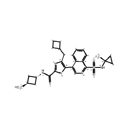 O=C(N[C@H]1C[C@H](C(=O)O)C1)c1nc(CC2CCC2)c(-c2cnc(S(=O)(=O)NC3(C(F)(F)F)CC3)c3ccccc23)s1